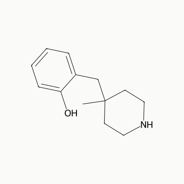 CC1(Cc2ccccc2O)CCNCC1